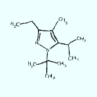 CCc1nn(C(C)(C)C)c(C(C)C)c1C